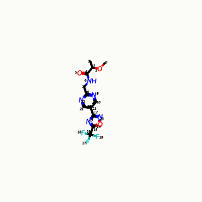 COC(C)C(=O)NCc1ncc(-c2noc(C(F)(F)F)n2)cn1